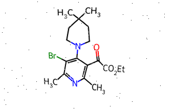 CCOC(=O)C(=O)c1c(C)nc(C)c(Br)c1N1CCC(C)(C)CC1